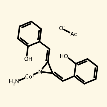 CC(=O)[O-].[NH2][Co+][N]1C(=Cc2ccccc2O)C1=Cc1ccccc1O